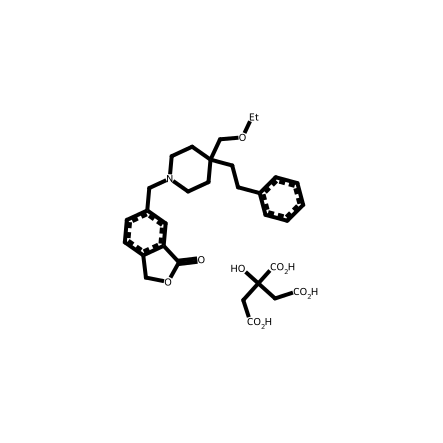 CCOCC1(CCc2ccccc2)CCN(Cc2ccc3c(c2)C(=O)OC3)CC1.O=C(O)CC(O)(CC(=O)O)C(=O)O